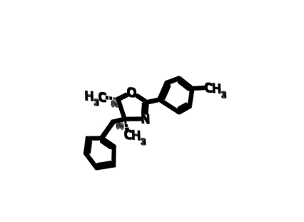 Cc1ccc(C2=N[C@@](C)(Cc3ccccc3)[C@H](C)O2)cc1